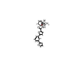 C[C@H]1[C@H](NC(=O)c2ccc(-c3cccc(-c4ncco4)c3)o2)C2CCN1CC2